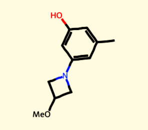 COC1CN(c2cc(C)cc(O)c2)C1